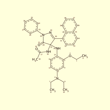 CCOc1cc(N(CC)CC)ccc1NC1(NC(C)=O)C(=O)N(c2ccccc2)N=C1c1cccc2ccccc12